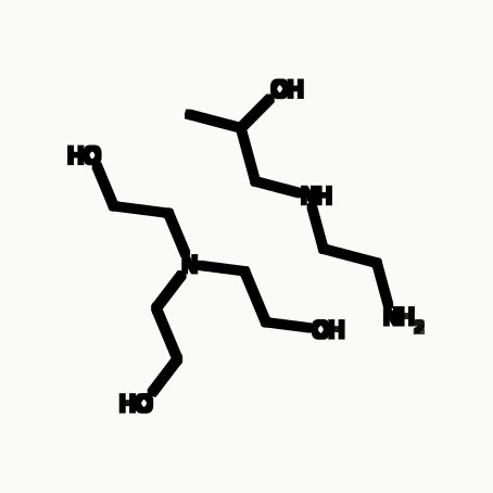 CC(O)CNCCN.OCCN(CCO)CCO